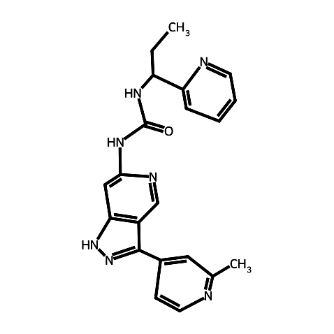 CCC(NC(=O)Nc1cc2[nH]nc(-c3ccnc(C)c3)c2cn1)c1ccccn1